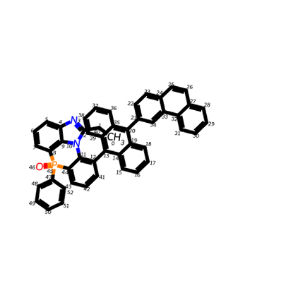 CCc1nc2cccc3c2n1-c1c(-c2c4ccccc4c(-c4ccc5ccc6ccccc6c5c4)c4ccccc24)cccc1P3(=O)c1ccccc1